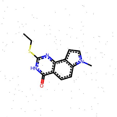 CCSc1nc2c(ccc3c2ccn3C)c(=O)[nH]1